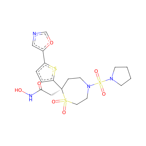 O=C(C[C@]1(c2ccc(-c3cnco3)s2)CCN(S(=O)(=O)N2CCCC2)CCS1(=O)=O)NO